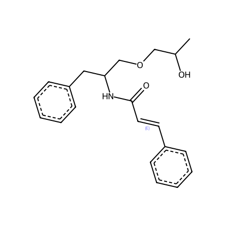 CC(O)COCC(Cc1ccccc1)NC(=O)/C=C/c1ccccc1